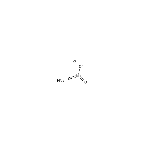 [K+].[NaH].[O]=[Nb](=[O])[O-]